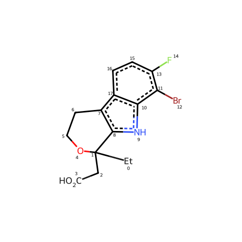 CCC1(CC(=O)O)OCCc2c1[nH]c1c(Br)c(F)ccc21